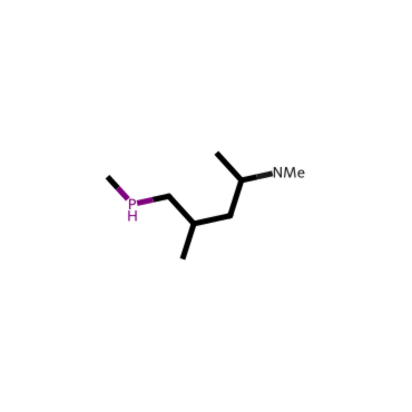 CNC(C)CC(C)CPC